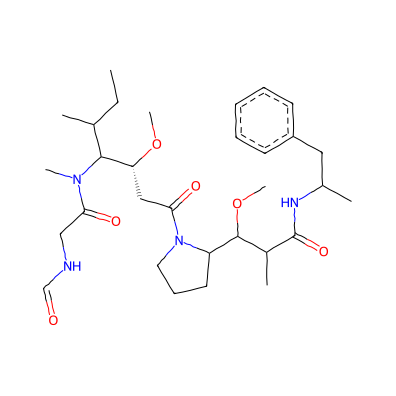 CCC(C)C([C@@H](CC(=O)N1CCCC1C(OC)C(C)C(=O)NC(C)Cc1ccccc1)OC)N(C)C(=O)CNC=O